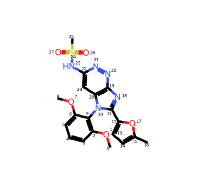 COc1cccc(OC)c1-n1c(-c2ccc(C)o2)nc2nnc(NS(C)(=O)=O)cc21